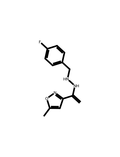 C=C(NNCc1ccc(F)cc1)c1cc(C)on1